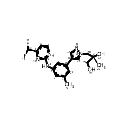 Cc1cc(Nc2nccc(C(F)F)n2)cc(-c2cnn(C[C@](C)(O)CO)c2)c1